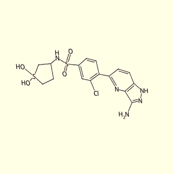 Nc1n[nH]c2ccc(-c3ccc(S(=O)(=O)NC4CCS(O)(O)C4)cc3Cl)nc12